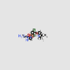 Cc1cc(C)c2cccc(OCc3c(Cl)ccc(S(=O)(=O)N4CCC[C@H]4C(=O)NCCN)c3Cl)c2n1